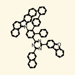 c1ccc(-c2ccc(-c3c(-n4c5cc6ccccc6cc5c5ccc6ccccc6c54)ccc(-c4nc(-c5ccc6ccccc6c5)nc(-c5ccc6oc7ccccc7c6c5)n4)c3-c3ccccc3)cc2)cc1